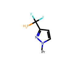 CC(C)n1ccc(C(F)(F)P)n1